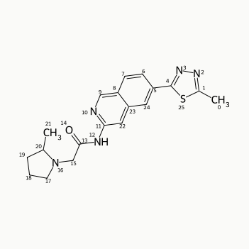 Cc1nnc(-c2ccc3cnc(NC(=O)CN4CCCC4C)cc3c2)s1